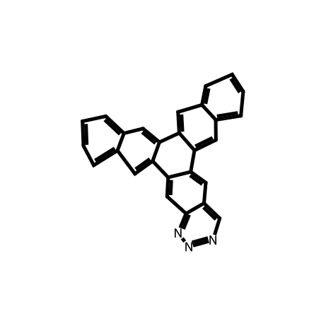 c1ccc2cc3c(cc2c1)c1cc2ccccc2cc1c1cc2nnncc2cc31